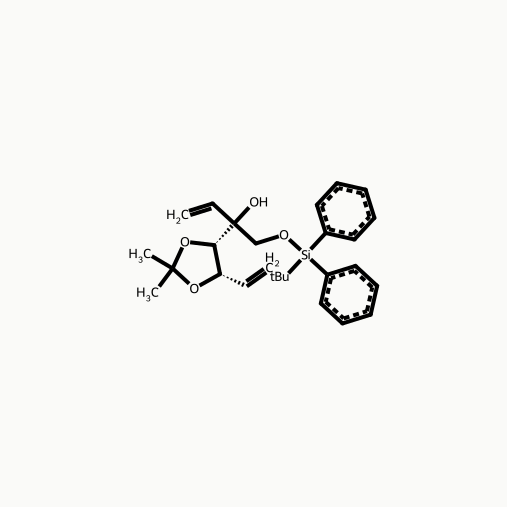 C=C[C@@H]1OC(C)(C)O[C@@H]1C(O)(C=C)CO[Si](c1ccccc1)(c1ccccc1)C(C)(C)C